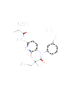 CN[C@@H](C)C(=O)Nc1ccc2c(n1)OC(C)(CC(C)C)C(=O)N2c1cccc(Cl)c1.Cl